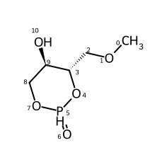 COC[C@@H]1O[PH](=O)OC[C@H]1O